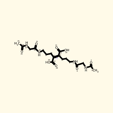 CC(=O)NCC(=O)NCCC/C(C(=O)O)=C(/CCCNC(=O)CNC(C)=O)C(=O)O